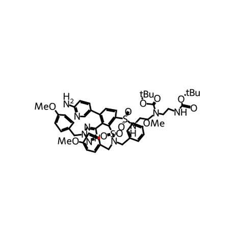 COc1ccc(CN(Cc2ccc(OC)cc2)S(=O)(=O)c2c(S(=O)(=O)NCCN(CCNC(=O)OC(C)(C)C)C(=O)OC(C)(C)C)ccc(-c3ccc(N)nc3)c2-c2nnn(Cc3ccc(OC)cc3)n2)cc1